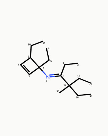 CC/C(=N\C1(CC)C=CC1CC)C(C)(CC)CC